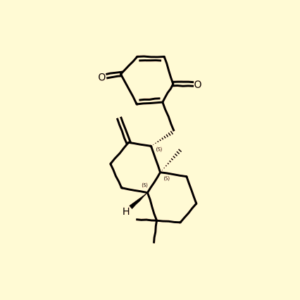 C=C1CC[C@H]2C(C)(C)CCC[C@]2(C)[C@H]1CC1=CC(=O)C=CC1=O